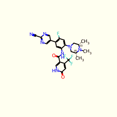 C[C@@H]1CN(c2cc(F)c(-c3cnc(C#N)nc3)cc2NC(=O)c2c[nH]c(=O)cc2C(F)(F)F)C[C@H](C)N1C